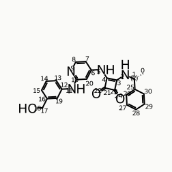 C[C@@H](Nc1c(Nc2ccnc(Nc3cccc(CO)c3)c2)c(=O)c1=O)c1ccccc1